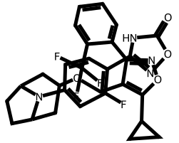 O=c1[nH]c(-c2ccc(N3C4CCC3CC(OCc3c(-c5ccccc5C(F)(F)F)noc3C3CC3)C4)cc2F)no1